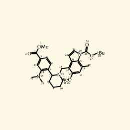 COC(=O)c1ccc(C2CCCCN2Cc2c(OC)cc(C)c3c2ccn3C(=O)OC(C)(C)C)c(N(C)C)c1